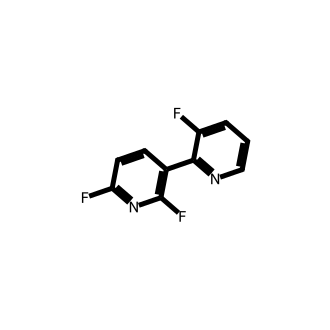 Fc1ccc(-c2ncccc2F)c(F)n1